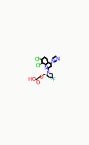 O=C(O)COC[C@@H]1C[C@H](F)CN1c1cc(-n2ccnc2)c2ccc(Cl)c(Cl)c2n1